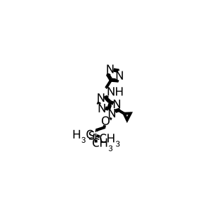 C[Si](C)(C)CCOCn1c(C2CC2)nc2c(NCc3cncnc3)ncnc21